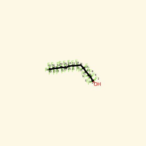 OC(F)(F)C(F)(F)C(F)(F)C(F)(F)C(F)(F)CC(F)(F)C(F)(F)C(F)(F)C(F)(F)C(F)(F)C(F)(F)C(F)(F)C(F)(F)F